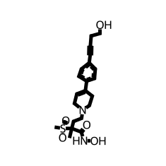 CC(CCN1CC=C(c2ccc(C#CCCO)cc2)CC1)(C(=O)NO)S(C)(=O)=O